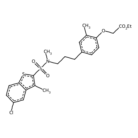 CCOC(=O)COc1ccc(CCCN(C)S(=O)(=O)c2sc3ccc(Cl)cc3c2C)cc1C